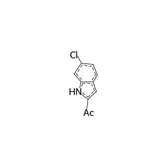 CC(=O)c1cc2ccc(Cl)cc2[nH]1